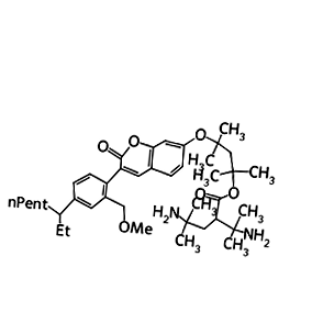 CCCCCC(CC)c1ccc(-c2cc3ccc(OC(C)(C)CC(C)(C)OC(=O)C(CC(C)(C)N)C(C)(C)N)cc3oc2=O)c(COC)c1